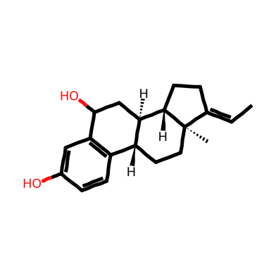 C/C=C1\CC[C@H]2[C@@H]3CC(O)c4cc(O)ccc4[C@H]3CC[C@]12C